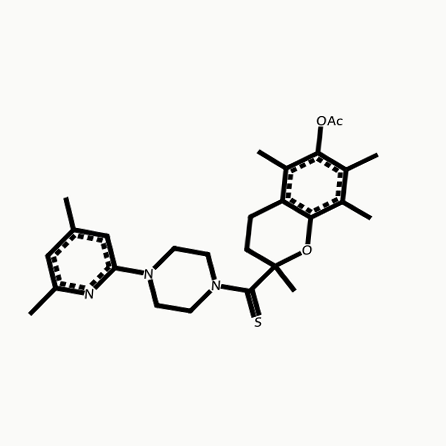 CC(=O)Oc1c(C)c(C)c2c(c1C)CCC(C)(C(=S)N1CCN(c3cc(C)cc(C)n3)CC1)O2